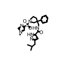 CC(C)Cc1cc(C(=O)NCC2(c3ccccc3)CCCN(S(=O)(=O)c3cn(C)cn3)C2)[nH]n1